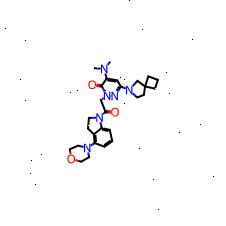 CN(C)c1cc(N2CCC3(CCC3)C2)nn(CC(=O)N2CCc3c(N4CCOCC4)cccc32)c1=O